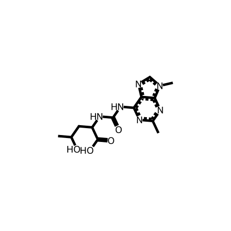 Cc1nc(NC(=O)NC(CC(C)O)C(=O)O)c2ncn(C)c2n1